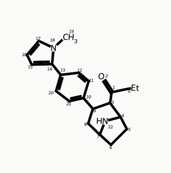 CCC(=O)C1C2CCC(CC1c1ccc(-c3cccn3C)cc1)N2